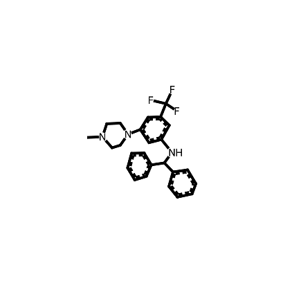 CN1CCN(c2cc(NC(c3ccccc3)c3ccccc3)cc(C(F)(F)F)c2)CC1